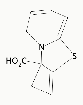 O=C(O)C12CC=C1SC1=CC=CCN12